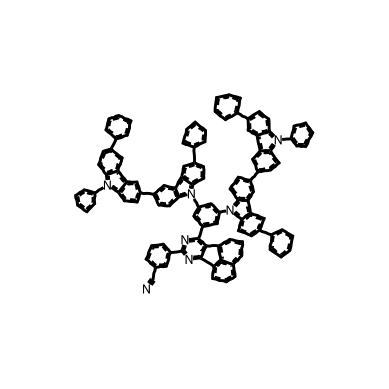 N#Cc1cccc(-c2nc(-c3cc(-n4c5ccc(-c6ccccc6)cc5c5cc(-c6ccc7c(c6)c6cc(-c8ccccc8)ccc6n7-c6ccccc6)ccc54)cc(-n4c5ccc(-c6ccccc6)cc5c5cc(-c6ccc7c(c6)c6cc(-c8ccccc8)ccc6n7-c6ccccc6)ccc54)c3)c3c(n2)-c2cccc4cccc-3c24)c1